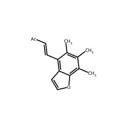 CC(=O)/C=C/c1c(C)c(C)c(C)c2occc12